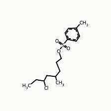 CCC(Cl)CC(C)CCCOS(=O)(=O)c1ccc(C)cc1